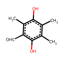 Cc1c(C)c(O)c(C=O)c(C)c1O